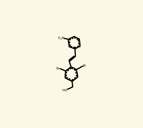 O=[N+]([O-])c1cccc(C=Cc2c(Br)cc(CO)cc2Br)c1